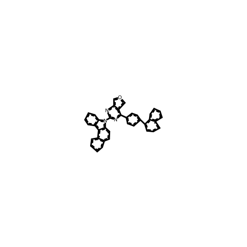 c1ccc2c(-c3ccc(-c4nc(-n5c6ccccc6c6c7ccccc7ccc65)nc5cocc45)cc3)cccc2c1